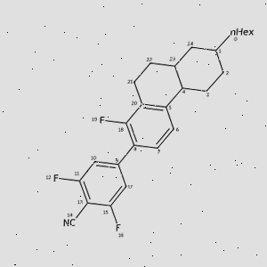 CCCCCCC1CCC2c3ccc(-c4cc(F)c(C#N)c(F)c4)c(F)c3CCC2C1